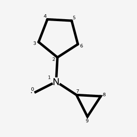 [CH2]N(C1CCCC1)C1CC1